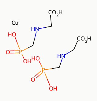 O=C(O)CNCP(=O)(O)O.O=C(O)CNCP(=O)(O)O.[Cu]